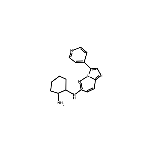 NC1CCCCC1Nc1ccc2ncc(-c3ccncc3)n2n1